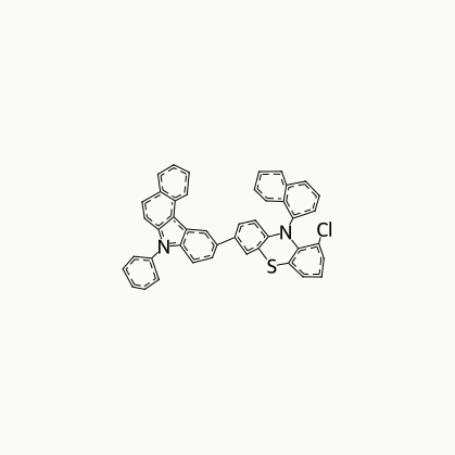 Clc1cccc2c1N(c1cccc3ccccc13)c1ccc(-c3ccc4c(c3)c3c5ccccc5ccc3n4-c3ccccc3)cc1S2